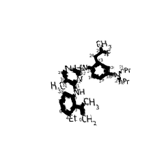 C=C(C)c1c(CC)cccc1Nc1nc(Nc2ccc(N(CCC)CCC)cc2CC(C)F)ncc1C